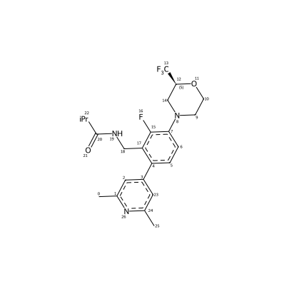 Cc1cc(-c2ccc(N3CCO[C@H](C(F)(F)F)C3)c(F)c2CNC(=O)C(C)C)cc(C)n1